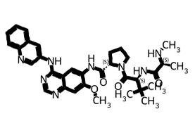 CN[C@@H](C)C(=O)N[C@H](C(=O)N1CCC[C@H]1C(=O)Nc1cc2c(Nc3cnc4ccccc4c3)ncnc2cc1OC)C(C)(C)C